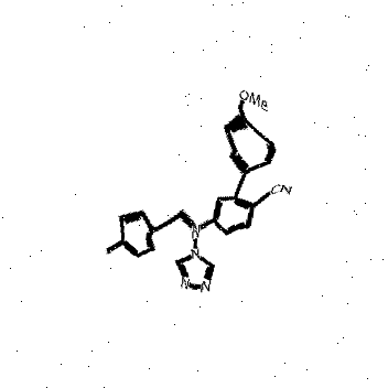 COc1ccc(-c2cc(N(Cc3ccc(C)cc3)n3cnnc3)ccc2C#N)cc1